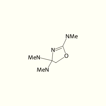 CNC1=NC(NC)(NC)CO1